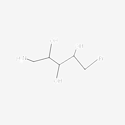 CC(C)CC(O)C(O)C(O)CN